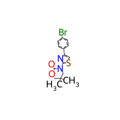 CC1(C)COC(=O)N(c2nc(-c3ccc(Br)cc3)cs2)C1